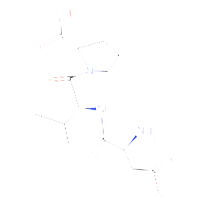 CC(C)[C@H](NC(=O)[C@@H](N)CC(=O)O)C(=O)N1CCC[C@H]1C(=O)O